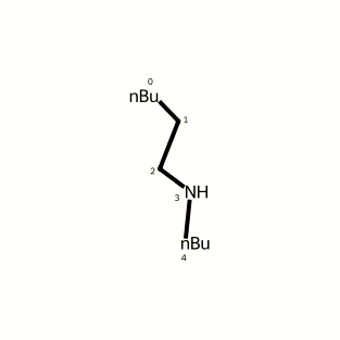 CCCCCCNCCCC